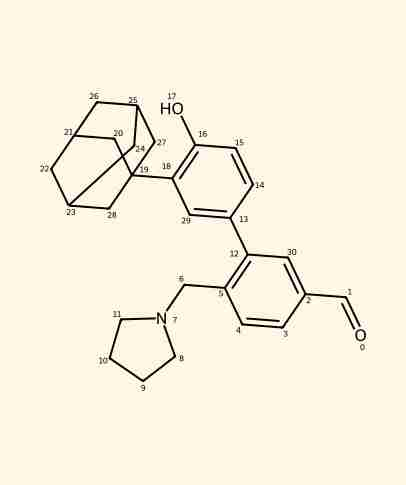 O=Cc1ccc(CN2CCCC2)c(-c2ccc(O)c(C34CC5CC(CC(C5)C3)C4)c2)c1